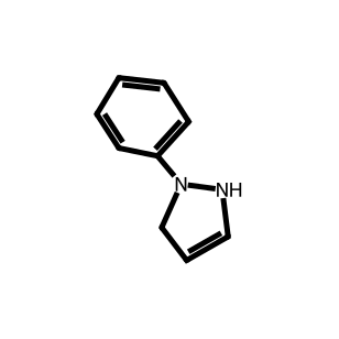 C1=CNN(c2ccccc2)C1